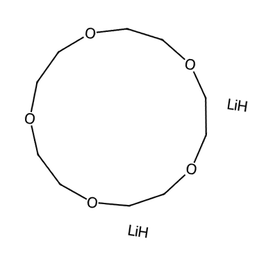 C1COCCOCCOCCOCCO1.[LiH].[LiH]